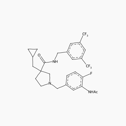 CC(=O)Nc1cc(CN2CCC(CC3CC3)(C(=O)NCc3cc(C(F)(F)F)cc(C(F)(F)F)c3)C2)ccc1F